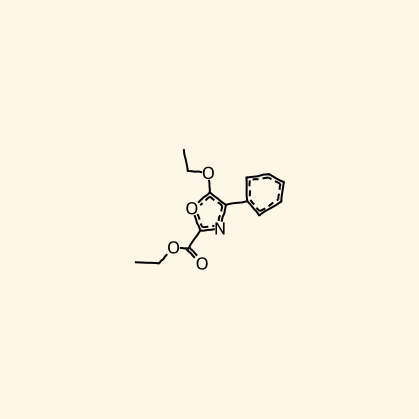 CCOC(=O)c1nc(-c2ccccc2)c(OCC)o1